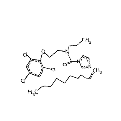 C=CCCCCCCCC.CCCN(CCOc1c(Cl)cc(Cl)cc1Cl)C(=O)n1ccnc1